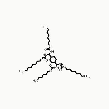 CCCCCCCCOC(=O)NC(NC(=O)OCCCCCC)C1CCC(C(NC(=O)OCCCCCCC)NC(=O)OCCCCCCCC)CC1